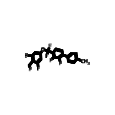 Cc1ccc(-c2ccc(C(F)(F)Oc3cc(F)c(CF)c(F)c3)c(F)c2F)cc1